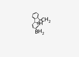 BC1=C[C@@H]2C(=C)c3ccccc3C2C=C1